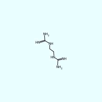 N=C(N)NCCNC(=N)N